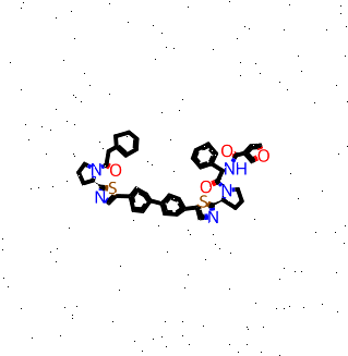 O=C(N[C@H](C(=O)N1CCC[C@H]1c1ncc(-c2ccc(-c3ccc(-c4cnc([C@@H]5CCCN5C(=O)CC5=CC=CCC5)s4)cc3)cc2)s1)c1ccccc1)c1ccoc1